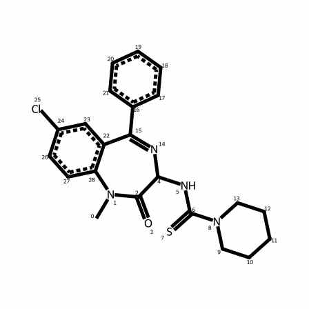 CN1C(=O)C(NC(=S)N2CCCCC2)N=C(c2ccccc2)c2cc(Cl)ccc21